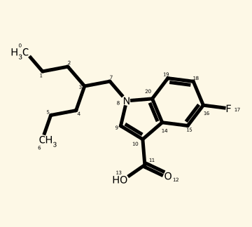 CCCC(CCC)Cn1cc(C(=O)O)c2cc(F)ccc21